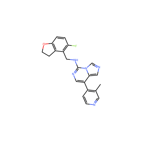 Cc1cnccc1-c1cnc(NCc2c(F)ccc3c2CCO3)n2cncc12